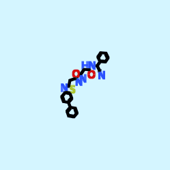 N#CC(NC(=O)Cc1nnc(Cc2nc3ccc(-c4ccccc4)cc3s2)o1)c1ccccc1